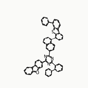 c1ccc(-c2ccccc2-c2nc(-c3ccc4c(-c5cccc6c5sc5c(-c7ccccc7)cccc56)cccc4c3)nc(-c3ccc4c(c3)oc3ccccc34)n2)cc1